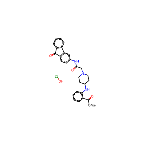 COC(=O)c1ccccc1NC1CCN(CC(=O)Nc2ccc3c(c2)-c2ccccc2C3=O)CC1.OCl